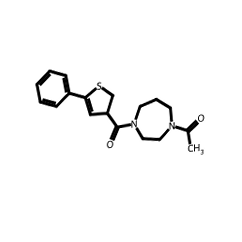 CC(=O)N1CCCN(C(=O)C2C=C(c3ccccc3)SC2)CC1